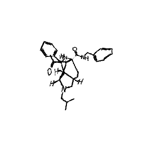 CC(=O)C1N[C@@]2(C(=O)NCc3ccccc3)C[C@@H]3CN(CC(C)C)[C@@H]([C@H]13)[C@H]2Cc1ccccc1